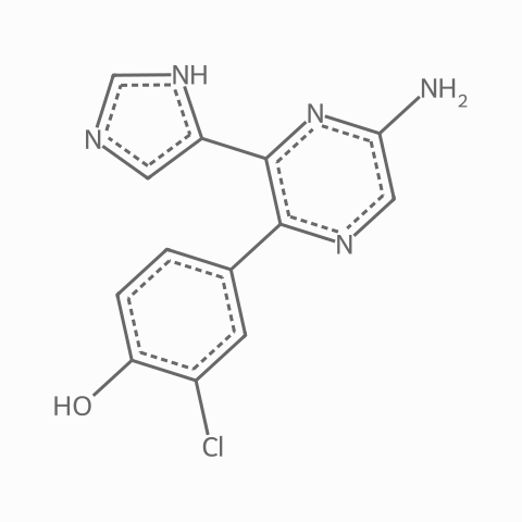 Nc1cnc(-c2ccc(O)c(Cl)c2)c(-c2cnc[nH]2)n1